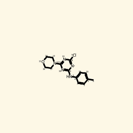 Cc1ccc(Nc2nc(Cl)nc(N3CCOCC3)n2)cc1